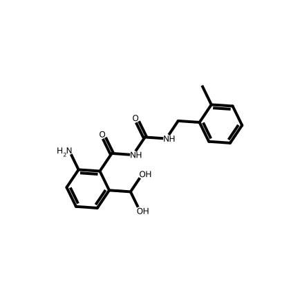 Cc1ccccc1CNC(=O)NC(=O)c1c(N)cccc1C(O)O